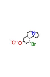 COCOc1cc(Br)c2c(ccn3cccc23)c1